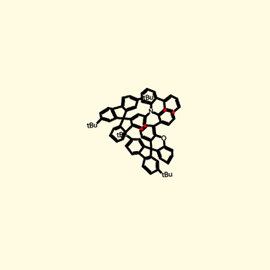 CC(C)(C)c1ccc2c(c1)C1(c3ccccc3-c3ccc(N(c4ccccc4-c4ccccc4)c4ccccc4-c4cccc5c4Oc4ccccc4C54c5cc(C(C)(C)C)ccc5-c5ccc(C(C)(C)C)cc54)cc31)c1cc(C(C)(C)C)ccc1-2